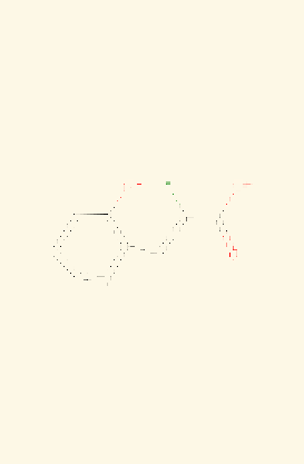 O=C(O)/C(F)=C/c1ccccc1O